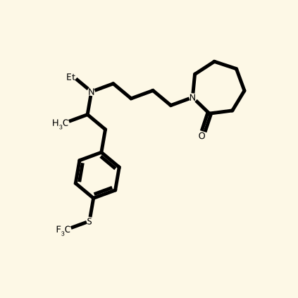 CCN(CCCCN1CCCCCC1=O)C(C)Cc1ccc(SC(F)(F)F)cc1